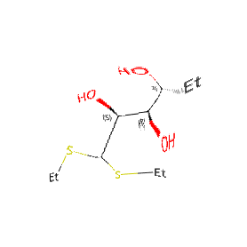 CCSC(SCC)[C@@H](O)[C@H](O)[C@H](O)CC